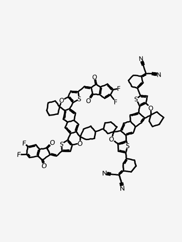 N#CC(C#N)=C1C=C(c2cc3c(s2)C2=CC4C=C5C(=CC4C=C2C2(CCCCC2)O3)c2sc(C3=CC(=C(C#N)C#N)CCC3)cc2OC52CCCC(C3CCC4(CC3)Oc3cc(C=C5C(=O)c6cc(F)c(F)cc6C5=O)sc3C3=CC5C=C6C(=CC5C=C34)c3sc(C=C4C(=O)c5cc(F)c(F)cc5C4=O)cc3OC63CCCCC3)C2)CCC1